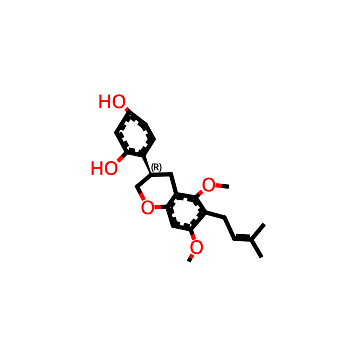 COc1cc2c(c(OC)c1CC=C(C)C)C[C@H](c1ccc(O)cc1O)CO2